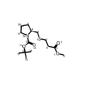 COC(=O)CCSC[C@@H]1CCCN1C(=O)OC(C)(C)C